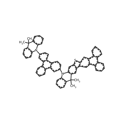 CC1(C)c2ccccc2N(c2ccc3c4ccc(N5c6ccccc6C(C)(C)c6cc7c(cc65)sc5cc6c8ccccc8c8ccccc8c6cc57)cc4c4ccccc4c3c2)c2ccccc21